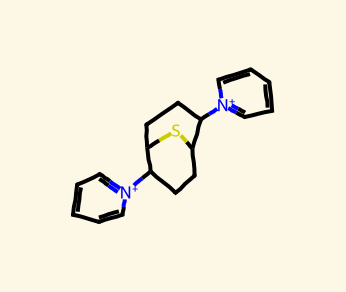 c1cc[n+](C2CCC3SC2CCC3[n+]2ccccc2)cc1